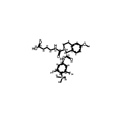 COc1ccc2c(c1)CCN(C(=O)NCCCC(=O)O)[C@H]2C(=O)Nc1cc(F)c(S(C)(C)C)c(F)c1